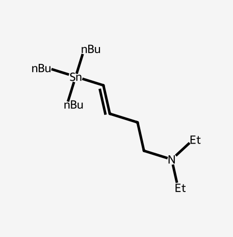 CCC[CH2][Sn](/[CH]=C/CCN(CC)CC)([CH2]CCC)[CH2]CCC